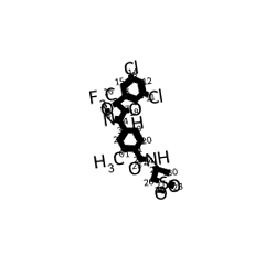 Cc1cc(C2=NOC(c3cc(Cl)cc(Cl)c3)(C(F)(F)F)C2O)ccc1C(=O)NC1CS(=O)(=O)C1